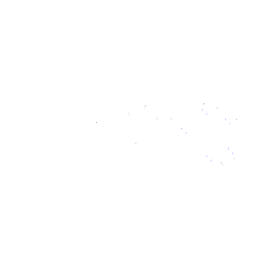 CCCCCCOc1ccc(CNc2ncnc3[nH]cnc23)cc1